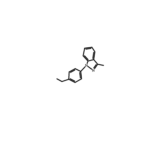 CCc1ccc(-n2nc(C)c3ccccc32)cc1